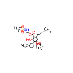 C=C(C)[C@@H]1CCC(C)=CC1c1c(O)cc(CCCCC)c(C(=O)OCCNS(C)(=O)=O)c1O